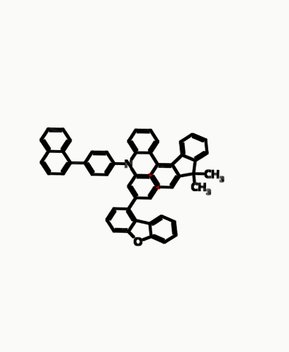 CC1(C)c2ccccc2-c2c(-c3ccccc3N(c3ccc(-c4cccc5ccccc45)cc3)c3cccc(-c4cccc5oc6ccccc6c45)c3)cccc21